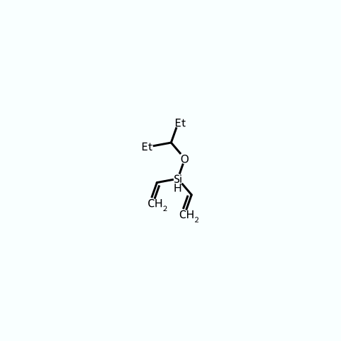 C=C[SiH](C=C)OC(CC)CC